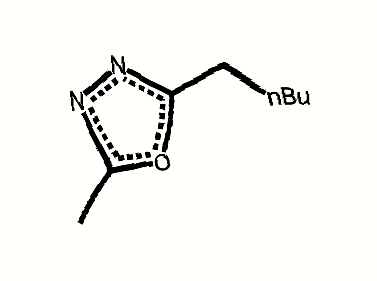 CCCCCc1nnc(C)o1